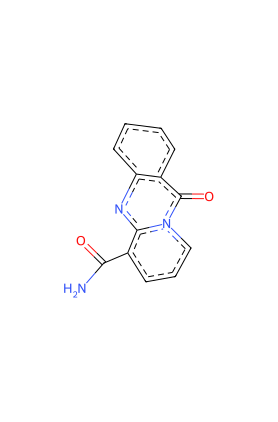 NC(=O)c1cccn2c(=O)c3ccccc3nc12